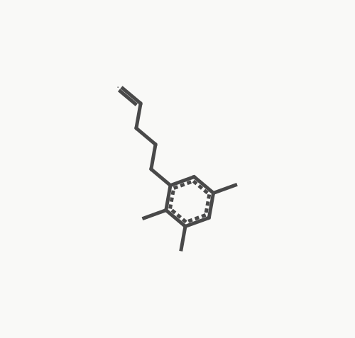 [CH]=CCCCc1cc(C)cc(C)c1C